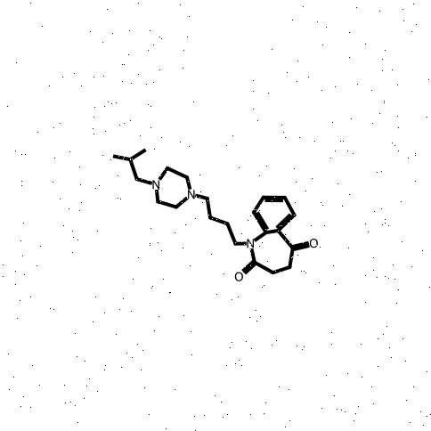 CC(C)CN1CCN(CCCCN2C(=O)CCC(=O)c3ccccc32)CC1